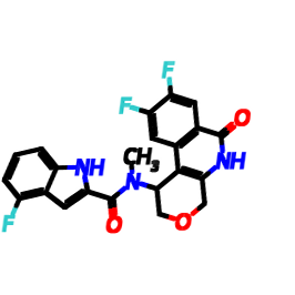 CN(C(=O)c1cc2c(F)cccc2[nH]1)C1COCc2[nH]c(=O)c3cc(F)c(F)cc3c21